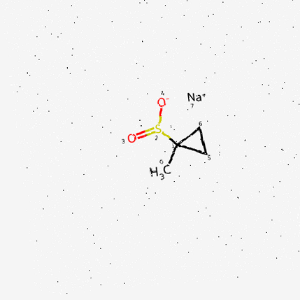 CC1(S(=O)[O-])CC1.[Na+]